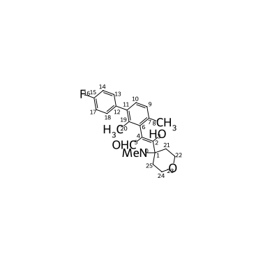 CNC1(/C(O)=C(\C=O)c2c(C)ccc(-c3ccc(F)cc3)c2C)CCOCC1